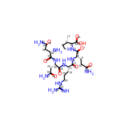 CC[C@H](C)[C@H](NC(=O)[C@H](CCC(N)=O)NC(=O)[C@H](CCCNC(=N)N)NC(=O)[C@H](CC(N)=O)NC(=O)[C@@H](N)CC(N)=O)C(=O)O